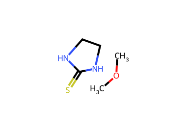 COC.S=C1NCCN1